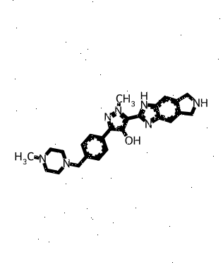 CN1CCN(Cc2ccc(-c3nn(C)c(-c4nc5cc6c(cc5[nH]4)CNC6)c3O)cc2)CC1